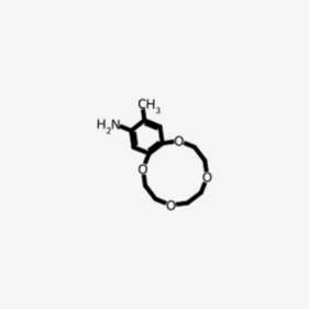 Cc1cc2c(cc1N)OCCOCCOCCO2